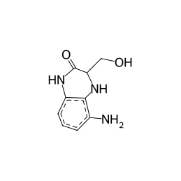 Nc1cccc2c1NC(CO)C(=O)N2